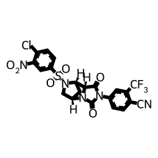 N#Cc1ccc(N2C(=O)[C@H]3[C@@H]4C[C@@H](CN4S(=O)(=O)c4ccc(Cl)c([N+](=O)[O-])c4)N3C2=O)cc1C(F)(F)F